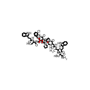 CCCCC(NC(=O)C(Cc1c[nH]c2ccccc12)NC(=O)C(C)NC(=O)CC(NC(=O)[C@@H]1CCCN1C(=O)CN(C)C(=O)[C@H](Cc1cccc(Cl)c1)N(C)C(=O)[C@H](C)N(C)C(=O)CNC(=O)C(CO)NC(=O)CCc1c[nH]c2ccccc12)C(=O)N1CCCCC1)C(N)=O